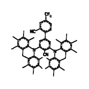 Cc1c(C)c(C)c2c(c1C)Cc1c(C)c(C)c(C)c(C)c1N2c1cc(-c2ccc(C(F)(F)F)cc2C#N)cc(N2c3c(C)c(C)c(C)c(C)c3Cc3c(C)c(C)c(C)c(C)c32)c1C#N